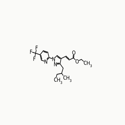 CCOC(=O)C=Cc1cn(-c2ccc(C(F)(F)F)cn2)nc1CC(C)CC